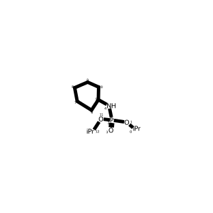 CC(C)OP(=O)(NC1CCCCC1)OC(C)C